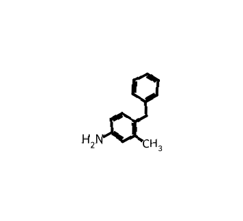 Cc1cc(N)ccc1Cc1ccccc1